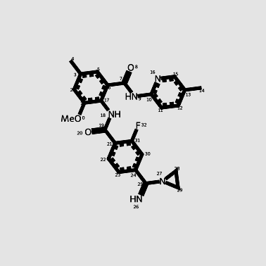 COc1cc(C)cc(C(=O)Nc2ccc(C)cn2)c1NC(=O)c1ccc(C(=N)N2CC2)cc1F